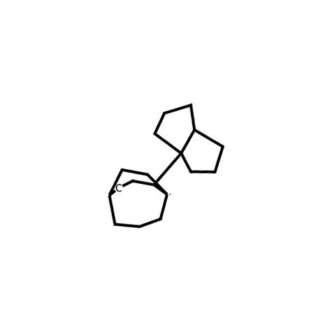 C1C[C]2CCC(C1)CCC2C12CCCC1CCC2